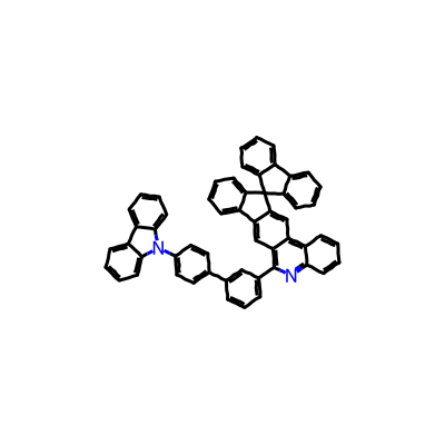 c1cc(-c2ccc(-n3c4ccccc4c4ccccc43)cc2)cc(-c2nc3ccccc3c3cc4c(cc23)-c2ccccc2C42c3ccccc3-c3ccccc32)c1